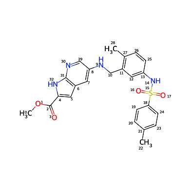 COC(=O)c1cc2cc(NCc3cc(NS(=O)(=O)c4ccc(C)cc4)ccc3C)cnc2[nH]1